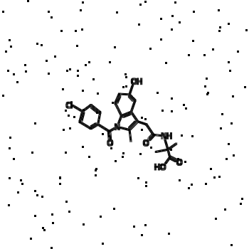 Cc1c(CC(=O)NC(C)(C)C(=O)O)c2cc(O)ccc2n1C(=O)c1ccc(Cl)cc1